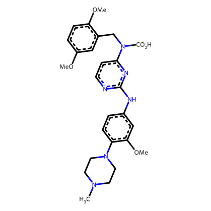 COc1ccc(OC)c(CN(C(=O)O)c2ccnc(Nc3ccc(N4CCN(C)CC4)c(OC)c3)n2)c1